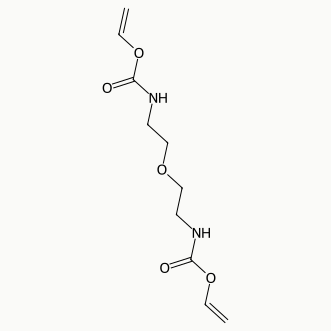 C=COC(=O)NCCOCCNC(=O)OC=C